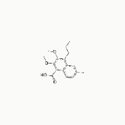 CCCc1c(OC)c(OC)c(C(=O)O)c2ccc(C)cc12